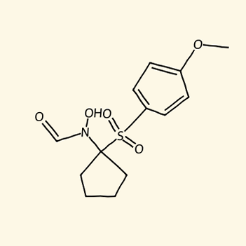 COc1ccc(S(=O)(=O)C2(N(O)C=O)CCCC2)cc1